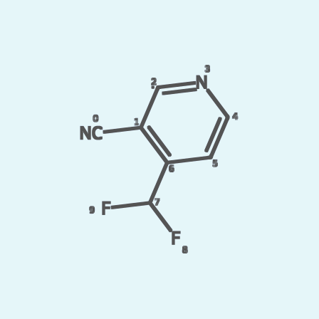 N#Cc1[c]nccc1C(F)F